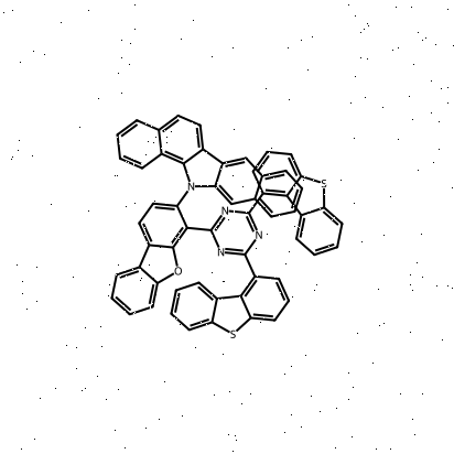 c1ccc2cc3c(cc2c1)c1ccc2ccccc2c1n3-c1ccc2c(oc3ccccc32)c1-c1nc(-c2cccc3sc4ccccc4c23)nc(-c2cccc3sc4ccccc4c23)n1